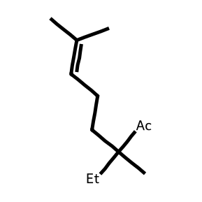 CCC(C)(CCC=C(C)C)C(C)=O